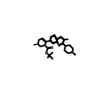 Cc1cc2ccc(C3=CC[C@H](C)CN3C(=O)OC(C)(C)C)cc2nc1C1CCN(C)CC1